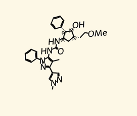 COCC[C@@H]1C[C@@H](NC(=O)Nc2c(C)c(-c3cnn(C)c3)nn2-c2ccccc2)[C@H](c2ccccc2)[C@H]1O